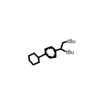 CC(C)(C)CC(c1ccc(C2CCCCC2)cc1)C(C)(C)C